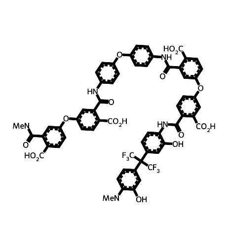 CNC(=O)c1cc(Oc2ccc(C(=O)O)c(C(=O)Nc3ccc(Oc4ccc(NC(=O)c5cc(Oc6ccc(C(=O)Nc7ccc(C(c8ccc(NC)c(O)c8)(C(F)(F)F)C(F)(F)F)cc7O)c(C(=O)O)c6)ccc5C(=O)O)cc4)cc3)c2)ccc1C(=O)O